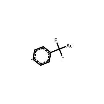 CC(=O)C(F)(F)c1cc[c]cc1